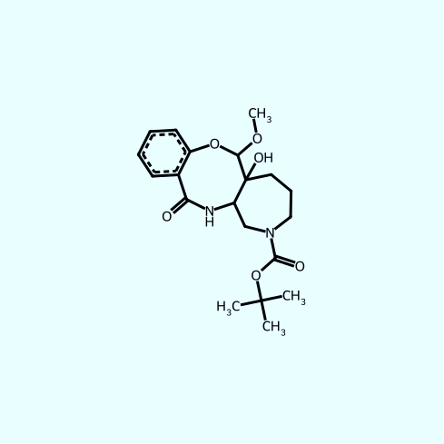 COC1Oc2ccccc2C(=O)NC2CN(C(=O)OC(C)(C)C)CCCC21O